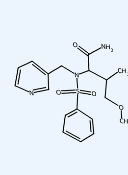 COCC(C)C(C(N)=O)N(Cc1cccnc1)S(=O)(=O)c1ccccc1